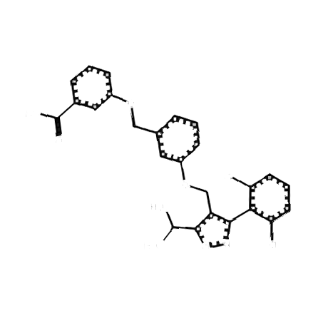 CC(C)c1onc(-c2c(Cl)cccc2Cl)c1COc1cccc(COc2cccc(C(=O)O)c2)c1